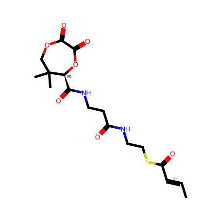 C/C=C/C(=O)SCCNC(=O)CCNC(=O)[C@@H]1OC(=O)C(=O)OCC1(C)C